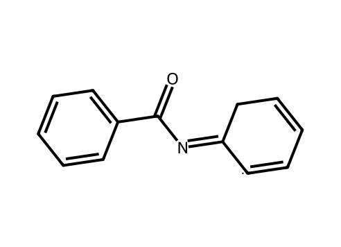 O=C(N=C1[C]=CC=CC1)c1ccccc1